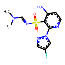 CN(C)C=NS(=O)(=O)c1c(N)ccnc1-n1cc(F)cn1